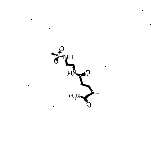 C[C@@H](C[CH]C(=O)NCCNS(C)(=O)=O)C(N)=O